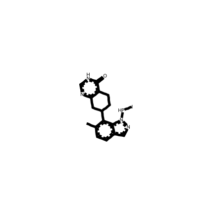 Cc1ccc2cnn(PI)c2c1C1CCc2c(nc[nH]c2=O)C1